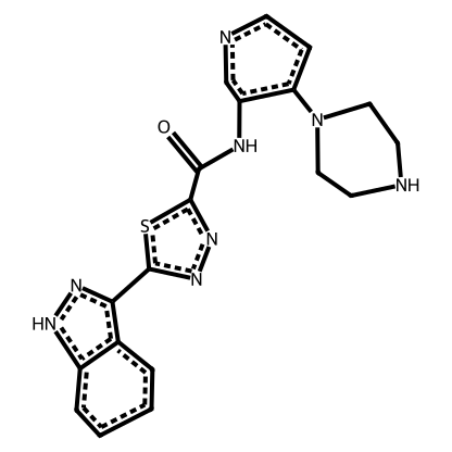 O=C(Nc1cnccc1N1CCNCC1)c1nnc(-c2n[nH]c3ccccc23)s1